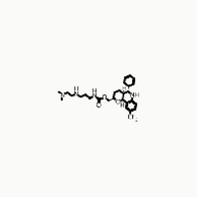 CN(C)CCNCCCNC(=O)OC[C@H]1CC[C@@H]2[C@H](O1)c1cc(C(F)(F)F)ccc1N[C@H]2C1C=CC=CC1